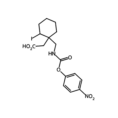 O=C(O)CC1(CNC(=O)Oc2ccc([N+](=O)[O-])cc2)CCCCC1I